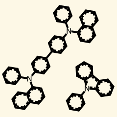 c1ccc(-n2c3ccccc3c3ccccc32)cc1.c1ccc(N(c2ccc(-c3ccc(N(c4ccccc4)c4cccc5ccccc45)cc3)cc2)c2cccc3ccccc23)cc1